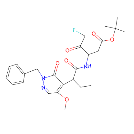 CCC(C(=O)NC(CC(=O)OC(C)(C)C)C(=O)CF)c1c(OC)cnn(Cc2ccccc2)c1=O